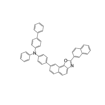 c1ccc(-c2ccc(N(c3ccccc3)c3ccc(-c4ccc5ccc6nc(-c7ccc8ccccc8c7)oc6c5c4)cc3)cc2)cc1